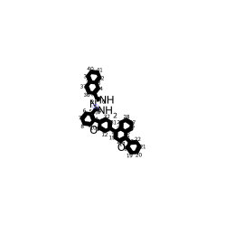 N=C(/N=C(\N)c1cccc2oc3cc(-c4cc5oc6ccccc6c5c5ccccc45)ccc3c12)c1ccc2ccccc2c1